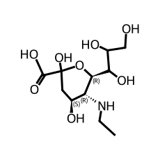 CCN[C@@H]1[C@@H](O)CC(O)(C(=O)O)O[C@H]1C(O)C(O)CO